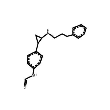 O=CNc1ccc(C2CC2NCCCc2ccccc2)cc1